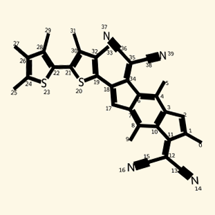 CC1=Cc2c(C)c3c(c(C)c2C1=C(C#N)C#N)C=C(c1sc(-c2sc(C)c(C)c2C)c(C)c1C)C3=C(C#N)C#N